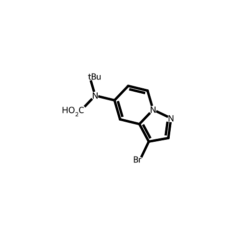 CC(C)(C)N(C(=O)O)c1ccn2ncc(Br)c2c1